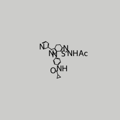 CC(=O)Nc1nc2c(s1)-c1c(c(-c3cccnc3)nn1-c1ccc(NC(=O)C3CC3)cc1)CC2